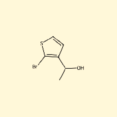 CC(O)c1ccsc1Br